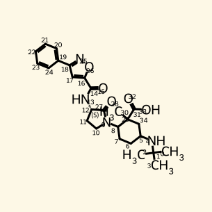 CC(C)(C)NC1CCC(N2CC[C@H](NC(=O)c3cc(-c4ccccc4)no3)C2=O)C(C)(C(=O)O)C1